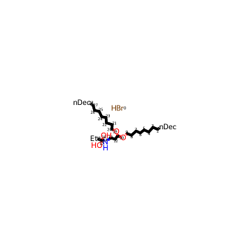 Br.CCCCCCCCCCCCCCCCCCOC(CCNC(O)(O)CC)OCCCCCCCCCCCCCCCCCC